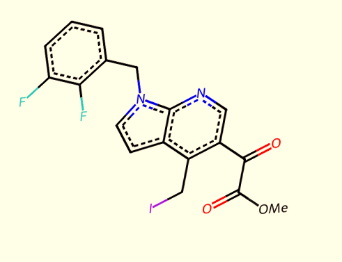 COC(=O)C(=O)c1cnc2c(ccn2Cc2cccc(F)c2F)c1CI